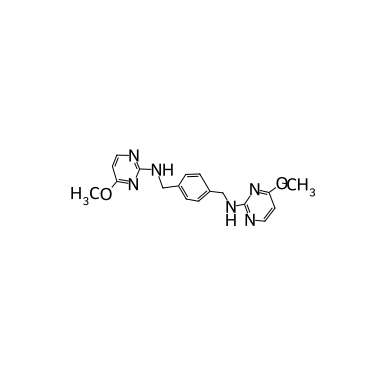 COc1ccnc(NCc2ccc(CNc3nccc(OC)n3)cc2)n1